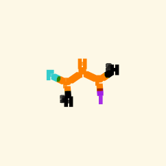 [2H]P(I)PP([3H])F